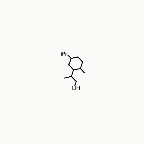 CC(C)C1CCC(C)C(C(C)CO)C1